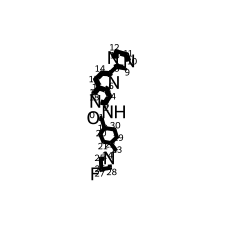 O=C(Nc1cc2nc(-c3cnccn3)ccc2cn1)C1CCC(CN2CC(F)C2)CC1